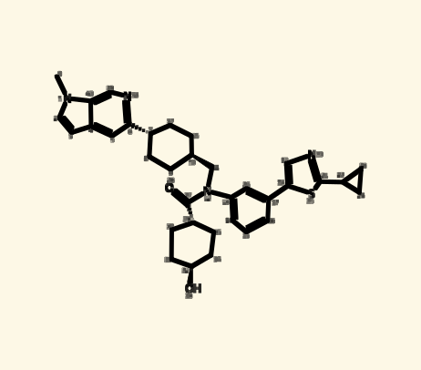 Cn1ccc2cc([C@H]3CC[C@H](CN(c4cccc(-c5cnc(C6CC6)s5)c4)C(=O)[C@H]4CC[C@H](O)CC4)CC3)ncc21